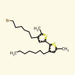 CCCCCCCc1cc(C)sc1-c1cc(CCCCCCBr)c(C)s1